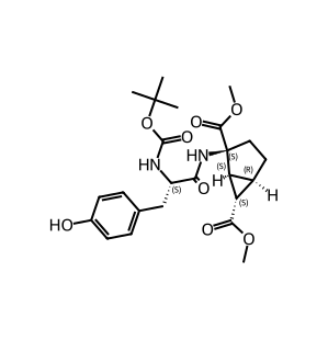 COC(=O)[C@H]1[C@@H]2CC[C@@](NC(=O)[C@H](Cc3ccc(O)cc3)NC(=O)OC(C)(C)C)(C(=O)OC)[C@@H]21